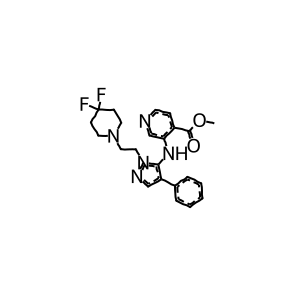 COC(=O)c1ccncc1Nc1c(-c2ccccc2)cnn1CCN1CCC(F)(F)CC1